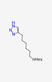 CCCCCCCCCCCCc1c[nH]nn1